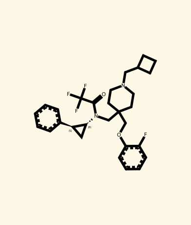 O=C(N(CC1(COc2ccccc2F)CCN(CC2CCC2)CC1)[C@@H]1C[C@H]1c1ccccc1)C(F)(F)F